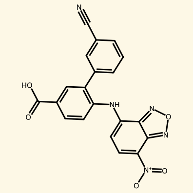 N#Cc1cccc(-c2cc(C(=O)O)ccc2Nc2ccc([N+](=O)[O-])c3nonc23)c1